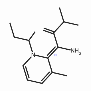 C=C(/C(N)=C1/C(C)=CC=CN1C(C)CC)C(C)C